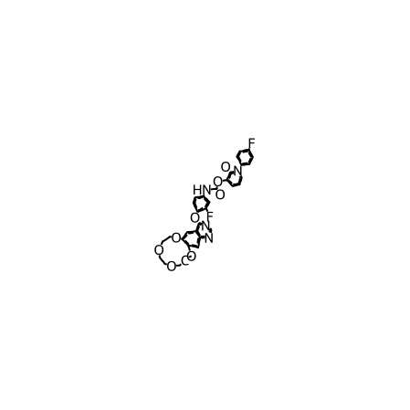 O=C(Nc1ccc(Oc2ncnc3cc4c(cc23)OCCOCCOCCO4)c(F)c1)Oc1cccn(-c2ccc(F)cc2)c1=O